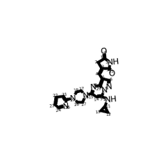 O=C1CC(=Cc2cnn3c(NC4CC4)cc(N4CCN(c5ccccn5)CC4)nc23)C(=O)N1